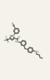 CCCCNc1ccc(Cc2cccc(NC(=O)c3cc(C(F)(F)F)nn3-c3cccc(C#N)c3)c2)cc1